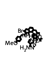 COc1ccc(CNc2nc3cc(CC(C)[C@@]45C[C@@H]4[C@@H](n4ccc6c(N)ncnc64)[C@@H]4OC(C)(C)O[C@@H]45)ccc3cc2Br)cc1